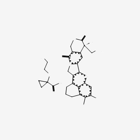 CCCOC1(C(=O)N[C@H]2CCc3c(Cl)c(F)cc4nc5c(c2c34)Cn2c-5cc3c(c2=O)COC(=O)[C@]3(O)CC)CC1